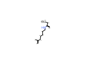 C=C(C)CCCCCNC(=C)CC(C)(C)C